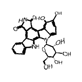 O=C1NC(=O)c2c1c1c3ccccc3[nH]c1c1c2c2c(O)c(O)ccc2n1[C@@H]1O[C@H](CO)[C@@H](O)[C@H](O)[C@H]1O